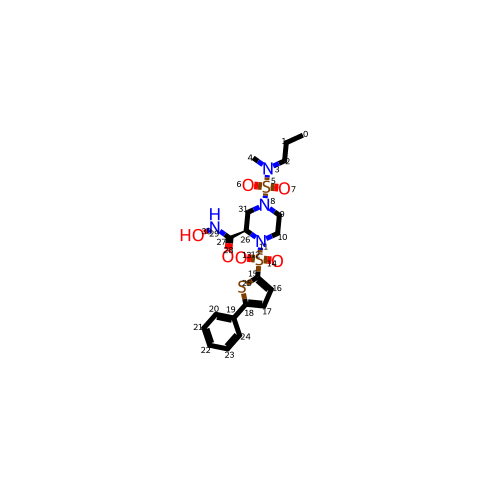 CCCN(C)S(=O)(=O)N1CCN(S(=O)(=O)c2ccc(-c3ccccc3)s2)[C@@H](C(=O)NO)C1